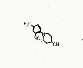 N#CC1CCN(c2ccc(C(F)(F)F)cc2[N+](=O)[O-])CC1